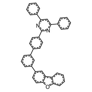 c1ccc(-c2cc(-c3ccccc3)nc(-c3ccc(-c4cccc(-c5ccc6oc7ccccc7c6c5)c4)cc3)n2)cc1